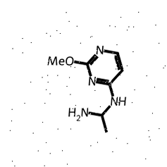 COc1nccc(NC(C)N)n1